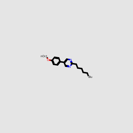 CCCCCCCCOc1ccc(-c2cnc(CCCCCC(C)CC)nc2)cc1